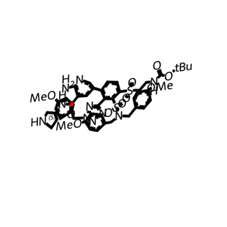 COc1ccc(CN(Cc2ccc(OC)cc2)S(=O)(=O)c2c(S(=O)(=O)CCNC(=O)OC(C)(C)C)ccc(-c3cnc(N)c(C(=O)N[C@H]4CCNC4)c3)c2-c2nnn(Cc3ccc(OC)cc3)n2)cc1